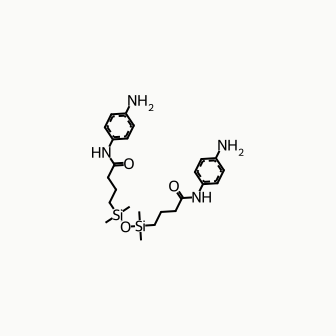 C[Si](C)(CCCC(=O)Nc1ccc(N)cc1)O[Si](C)(C)CCCC(=O)Nc1ccc(N)cc1